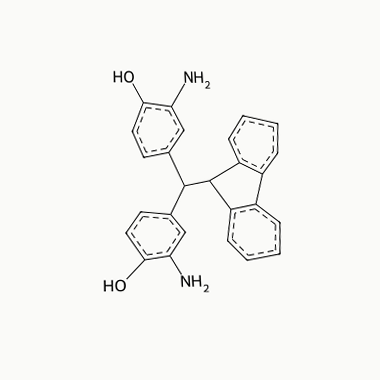 Nc1cc(C(c2ccc(O)c(N)c2)C2c3ccccc3-c3ccccc32)ccc1O